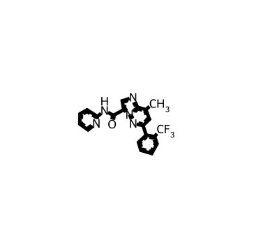 Cc1cc(-c2ccccc2C(F)(F)F)nn2c(C(=O)Nc3ccccn3)cnc12